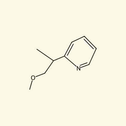 COCC(C)c1ccccn1